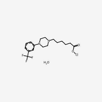 O.O=C(CCCCCN1CCN(c2cccc(C(F)(F)F)c2)CC1)OCl